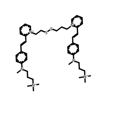 CN(CCC[N+](C)(C)C)c1ccc(/C=C/c2cccc[n+]2CCCSSCC[n+]2ccccc2/C=C/c2ccc(N(C)CCC[N+](C)(C)C)cc2)cc1